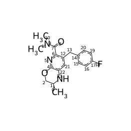 C[C@H]1COc2nc(C(=O)N(C)C)c(Cc3ccc(F)cc3)cc2N1